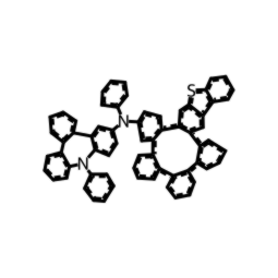 c1ccc(N(c2ccc3c(c2)-c2ccccc2-c2ccccc2N3c2ccccc2)c2ccc3c(c2)c2ccccc2c2ccccc2c2ccccc2c2cc4c(cc32)sc2ccccc24)cc1